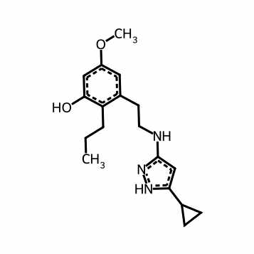 CCCc1c(O)cc(OC)cc1CCNc1cc(C2CC2)[nH]n1